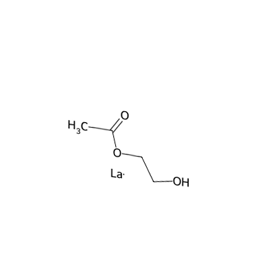 CC(=O)OCCO.[La]